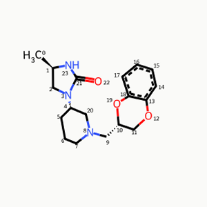 C[C@@H]1CN([C@H]2CCCN(C[C@H]3COc4ccccc4O3)C2)C(=O)N1